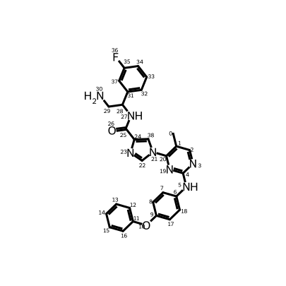 Cc1cnc(Nc2ccc(Oc3ccccc3)cc2)nc1-n1cnc(C(=O)NC(CN)c2cccc(F)c2)c1